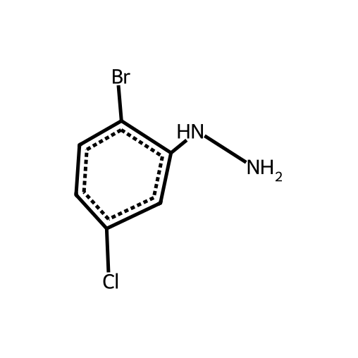 NNc1cc(Cl)ccc1Br